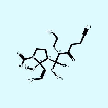 C#CCCC(=O)[C@@H](CCC)C(C)(OC)[C@@H]1CCN(C(=O)O)[C@]1(/C=C\C)OC